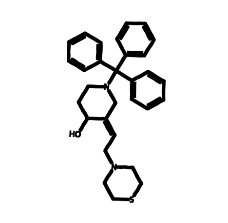 OC1CCN(C(c2ccccc2)(c2ccccc2)c2ccccc2)CC1=CCN1CCSCC1